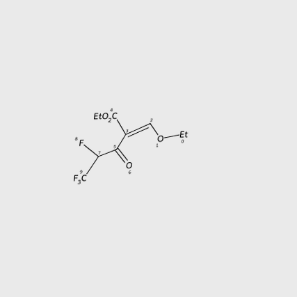 CCOC=C(C(=O)OCC)C(=O)C(F)C(F)(F)F